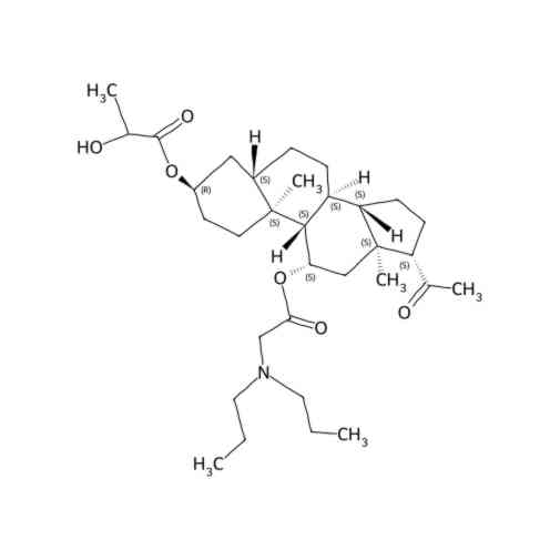 CCCN(CCC)CC(=O)O[C@H]1C[C@]2(C)[C@@H](C(C)=O)CC[C@H]2[C@@H]2CC[C@H]3C[C@H](OC(=O)C(C)O)CC[C@]3(C)[C@H]21